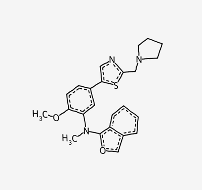 COc1ccc(-c2cnc(CN3CCCC3)s2)cc1N(C)c1occ2ccccc12